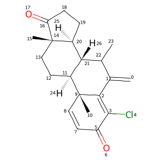 C=C1C2=C(Cl)C(=O)C=C[C@]2(C)[C@H]2CC[C@]3(C)C(=O)CC[C@H]3[C@@H]2C1C